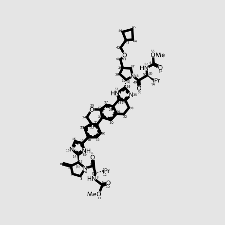 C=C1CCN(C(=O)[C@@H](NC(=O)OC)C(C)C)[C@@H]1c1ncc(-c2ccc3c(c2)COc2cc4c(cc2-3)CCc2nc([C@@H]3CC(COCC5CCC5)CN3C(=O)[C@@H](NC(=O)OC)C(C)C)[nH]c2-4)[nH]1